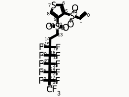 C=CS(=O)(=O)c1cscc1S(=O)(=O)CCC(F)(F)C(F)(F)C(F)(F)C(F)(F)C(F)(F)C(F)(F)F